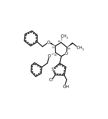 CC[C@H]1OC(c2cc(CO)c(Cl)s2)[C@H](OCc2ccccc2)[C@@H](OCc2ccccc2)[C@@H]1C